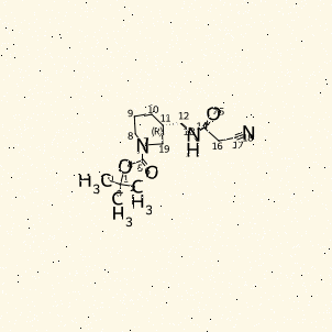 CC(C)(C)OC(=O)N1CCC[C@H](CNC(=O)CC#N)C1